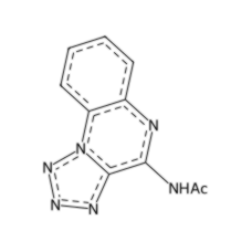 CC(=O)Nc1nc2ccccc2n2nnnc12